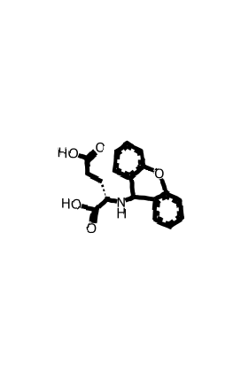 O=C(O)CC[C@H](NC1c2ccccc2Oc2ccccc21)C(=O)O